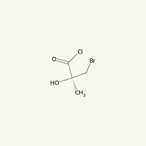 C[C@@](O)(CBr)C(=O)Cl